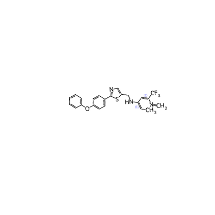 C=N/C(=C\C(=C/C)NCc1cnc(-c2ccc(Oc3ccccc3)cc2)s1)C(F)(F)F